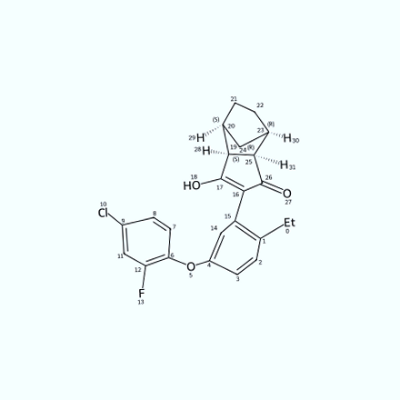 CCc1ccc(Oc2ccc(Cl)cc2F)cc1C1=C(O)[C@H]2[C@H]3CC[C@H](C3)[C@H]2C1=O